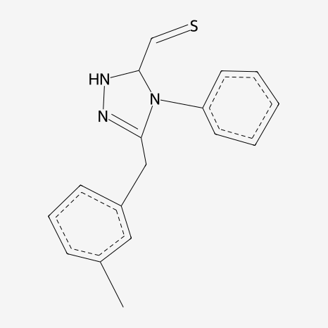 Cc1cccc(CC2=NNC(C=S)N2c2ccccc2)c1